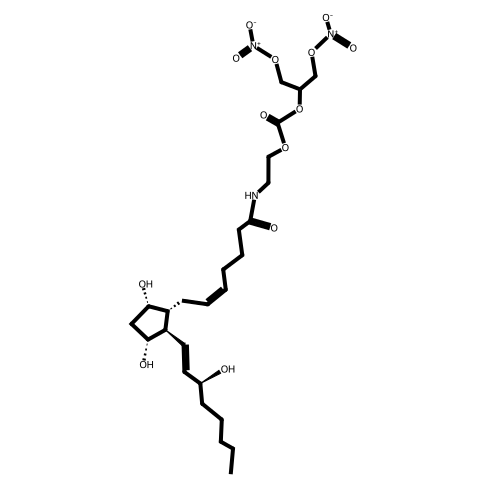 CCCCC[C@H](O)/C=C/[C@@H]1[C@@H](C/C=C\CCCC(=O)NCCOC(=O)OC(CO[N+](=O)[O-])CO[N+](=O)[O-])[C@@H](O)C[C@H]1O